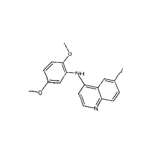 COc1ccc(OC)c(Nc2ccnc3ccc(I)cc23)c1